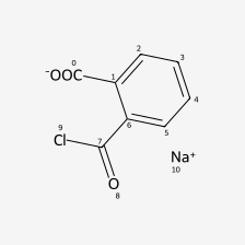 O=C([O-])c1ccccc1C(=O)Cl.[Na+]